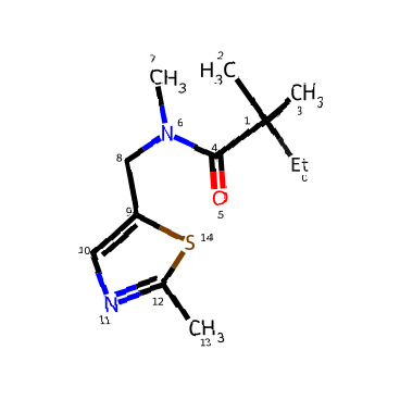 CCC(C)(C)C(=O)N(C)Cc1cnc(C)s1